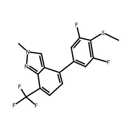 CSc1c(F)cc(-c2ccc(C(F)(F)F)c3nn(C)cc23)cc1F